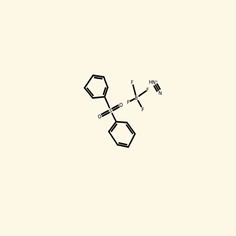 F[B-](F)(F)F.N#[NH+].O=S(=O)(c1ccccc1)c1ccccc1